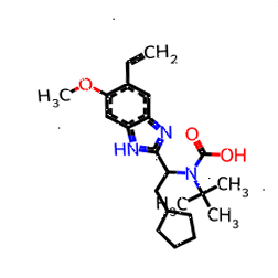 C=Cc1cc2nc(C(CC3CCCC3)N(C(=O)O)C(C)(C)C)[nH]c2cc1OC